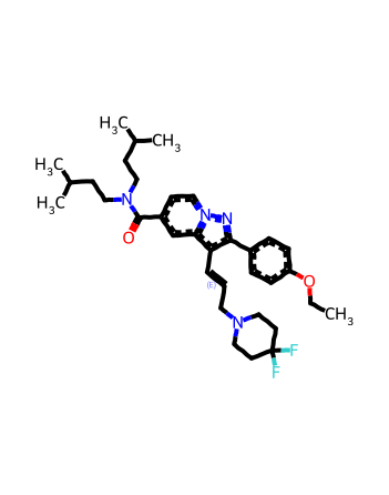 CCOc1ccc(-c2nn3ccc(C(=O)N(CCC(C)C)CCC(C)C)cc3c2/C=C/CN2CCC(F)(F)CC2)cc1